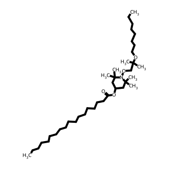 CCCCCCCCCCCCCCCCCC(=O)OC1CC(C)(C)N(OCC(C)(C)OCCCCCCCC)C(C)(C)C1